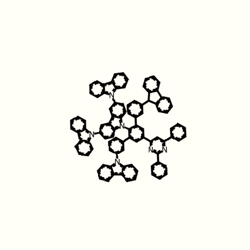 c1ccc(-c2cc(-c3cc(-c4cccc(C5c6ccccc6-c6ccccc65)c4)c(-n4c5ccc(-n6c7ccccc7c7ccccc76)cc5c5cc(-n6c7ccccc7c7ccccc76)ccc54)c(-c4cccc(-n5c6ccccc6c6ccccc65)c4)c3)nc(-c3ccccc3)n2)cc1